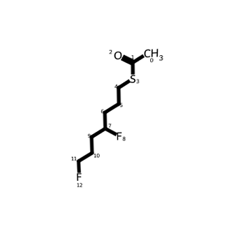 CC(=O)SCCCC(F)CCCF